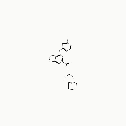 CN[C@H](CNC(=O)c1cc(Cc2cccc(Cl)c2)c2c(c1)OCC2)C[C@H]1CCCOC1